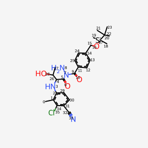 Cc1c(NC(C(=O)N(N)C(=O)c2ccc(CO[Si](C)(C)C(C)(C)C)cc2)C(C)O)ccc(C#N)c1Cl